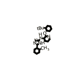 Cc1ccccc1-c1nnc(Nc2cccnc2Oc2ccccc2C(C)(C)C)[nH]1